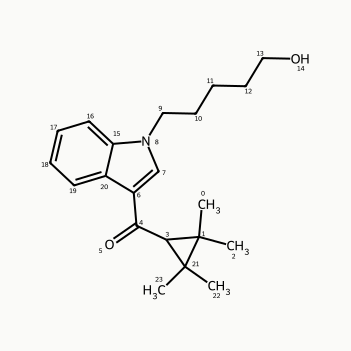 CC1(C)C(C(=O)c2cn(CCCCCO)c3ccccc23)C1(C)C